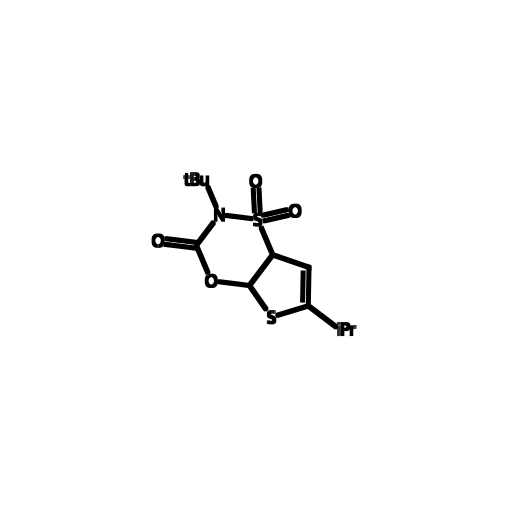 CC(C)C1=CC2C(OC(=O)N(C(C)(C)C)S2(=O)=O)S1